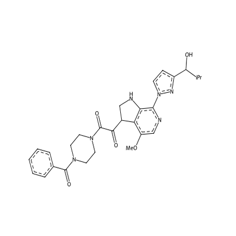 COc1cnc(-n2ccc(C(O)C(C)C)n2)c2c1C(C(=O)C(=O)N1CCN(C(=O)c3ccccc3)CC1)CN2